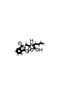 CCCCC(NC(=O)CN1C(=O)c2ccccc2C1=O)C(=O)O